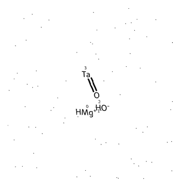 [MgH+].[OH-].[O]=[Ta]